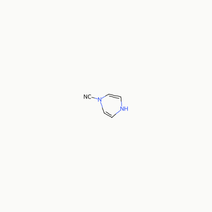 N#CN1C=CNC=C1